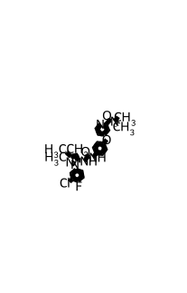 CN(C)C(=O)c1cc(Oc2ccc(NC(=O)Nc3cc(C(C)(C)C)nn3-c3ccc(F)c(Cl)c3)cc2)ccn1